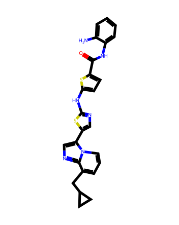 Nc1ccccc1NC(=O)c1ccc(Nc2ncc(-c3cnc4c(CC5CC5)cccn34)s2)s1